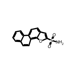 NS(=O)(=O)c1cc2ccc3c4ccccc4ccc3c2o1